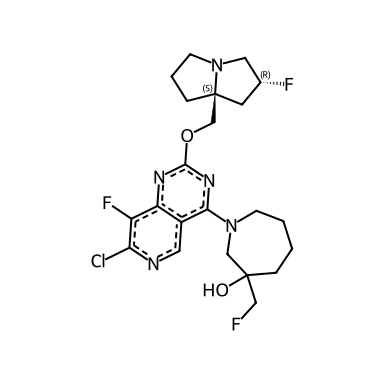 OC1(CF)CCCCN(c2nc(OC[C@@]34CCCN3C[C@H](F)C4)nc3c(F)c(Cl)ncc23)C1